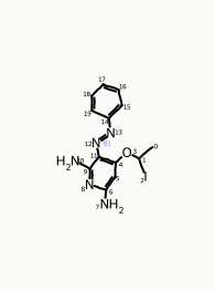 CC(I)Oc1cc(N)nc(N)c1/N=N/c1ccccc1